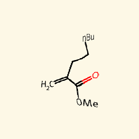 C=C(CCCCCC)C(=O)OC